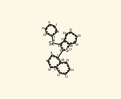 c1ccc([Se]c2c(-c3cccc4ccccc34)sc3ccccc23)cc1